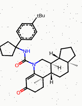 CC(C)(C)c1ccc(C2(NC(=O)N3C[C@H]4[C@@H]5CCC[C@@]5(C)CC[C@@H]4[C@@]4(C)CCC(=O)C=C34)CCCC2)cc1